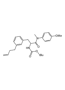 C=CCCc1cccc(CC(NC(=O)OC(C)(C)C)C(=O)N(C)c2ccc(OC)cc2)c1